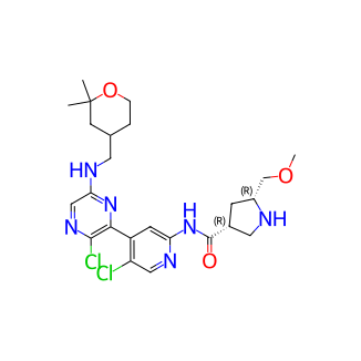 COC[C@H]1C[C@@H](C(=O)Nc2cc(-c3nc(NCC4CCOC(C)(C)C4)cnc3Cl)c(Cl)cn2)CN1